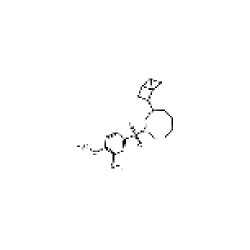 COc1ccc(S(=O)(=O)N2CCCCCC(C3CC4C5CC345)C2)cc1N